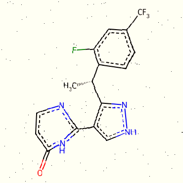 C[C@H](c1ccc(C(F)(F)F)cc1F)c1n[nH]cc1-c1nccc(=O)[nH]1